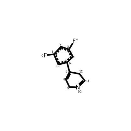 Fc1cc(F)cc(C2=CCN=CC2)c1